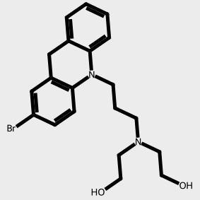 OCCN(CCO)CCCN1c2ccccc2Cc2cc(Br)ccc21